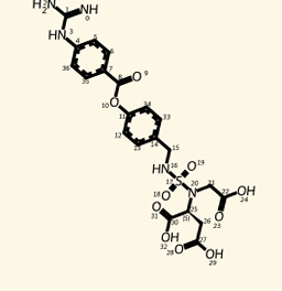 N=C(N)Nc1ccc(C(=O)Oc2ccc(CNS(=O)(=O)N(CC(=O)O)[C@@H](CC(=O)O)C(=O)O)cc2)cc1